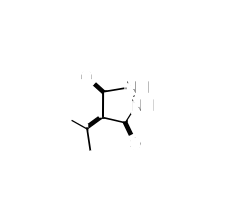 CC(C)=C1C(=O)NNC1=O